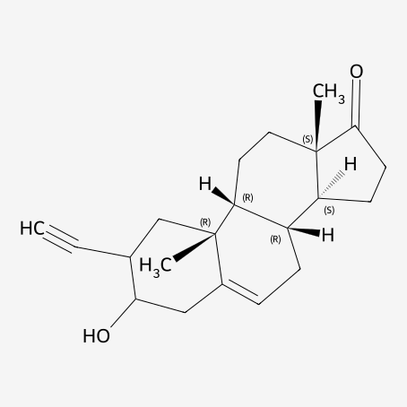 C#CC1C[C@@]2(C)C(=CC[C@@H]3[C@H]2CC[C@]2(C)C(=O)CC[C@@H]32)CC1O